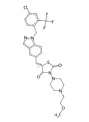 COCCN1CCN(N2C(=O)S/C(=C\c3ccc4c(cnn4Cc4ccc(Cl)cc4C(F)(F)F)c3)C2=O)CC1